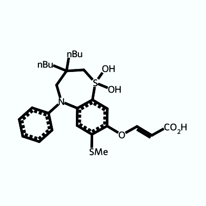 CCCCC1(CCCC)CN(c2ccccc2)c2cc(SC)c(OC=CC(=O)O)cc2S(O)(O)C1